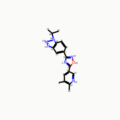 Cc1cc(-c2nc(-c3ccc4c(c3)nnn4C(C)C)no2)cnc1C